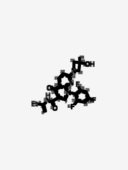 C=C(CC)NC(=O)c1cn(-c2c(F)cc(F)cc2F)c2nc(N3CC(C)(O)C3)ccc2c1=O